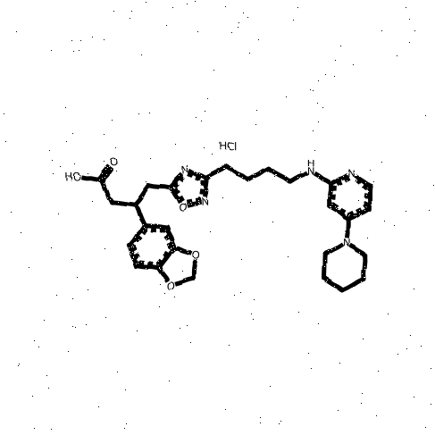 Cl.O=C(O)CC(Cc1nc(CCCCNc2cc(N3CCCCC3)ccn2)no1)c1ccc2c(c1)OCO2